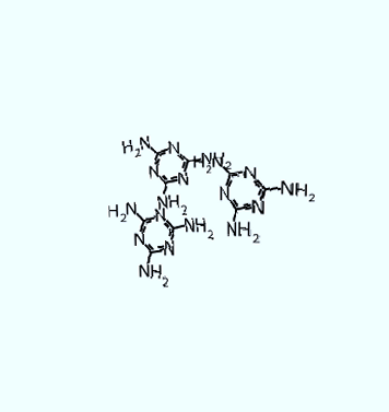 Nc1nc(N)nc(N)n1.Nc1nc(N)nc(N)n1.Nc1nc(N)nc(N)n1